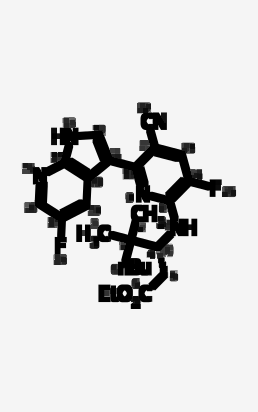 CCCCC(C)(C)[C@@H](CC(=O)OCC)Nc1nc(-c2c[nH]c3ncc(F)cc23)c(C#N)cc1F